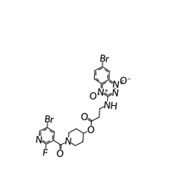 O=C(CCNc1n[n+]([O-])c2cc(Br)ccc2[n+]1[O-])OC1CCN(C(=O)c2cc(Br)cnc2F)CC1